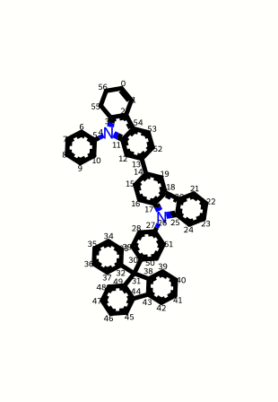 C1=Cc2c(n(-c3ccccc3)c3cc(-c4ccc5c(c4)c4ccccc4n5-c4ccc(C5(c6ccccc6)c6ccccc6-c6ccccc65)cc4)ccc23)CC1